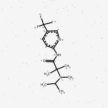 CC(C)N(C)C(C)(C)C(=O)Nc1ccc(C(F)(F)F)cn1